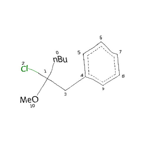 CCCCC(Cl)(Cc1ccccc1)OC